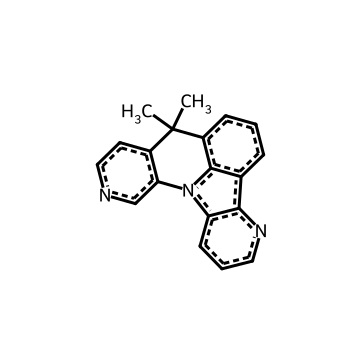 CC1(C)c2ccncc2-n2c3cccnc3c3cccc1c32